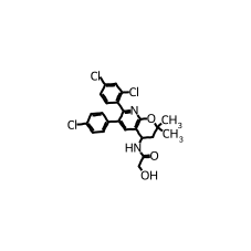 CC1(C)CC(NC(=O)CO)c2cc(-c3ccc(Cl)cc3)c(-c3ccc(Cl)cc3Cl)nc2O1